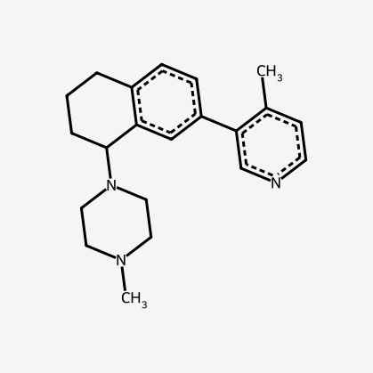 Cc1ccncc1-c1ccc2c(c1)C(N1CCN(C)CC1)CCC2